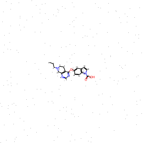 CCCN1CCc2c(ncnc2Oc2ccc3c(ccn3C(=O)O)c2)C1